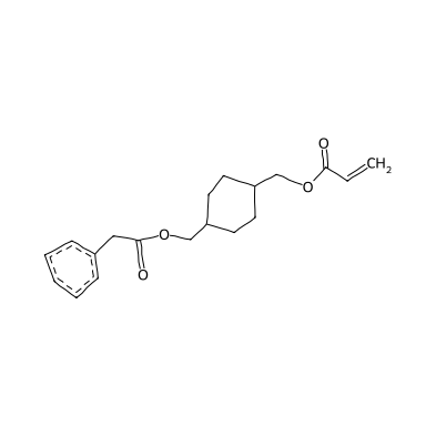 C=CC(=O)OCC1CCC(COC(=O)Cc2ccccc2)CC1